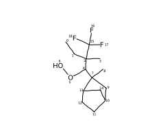 CCC(C)(C(OO)C1(C)CC2CCC1C2)C(F)(F)F